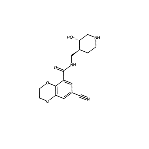 N#Cc1cc2c(c(C(=O)NC[C@@H]3CCNC[C@H]3O)c1)OCCO2